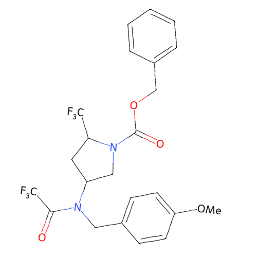 COc1ccc(CN(C(=O)C(F)(F)F)C2CC(C(F)(F)F)N(C(=O)OCc3ccccc3)C2)cc1